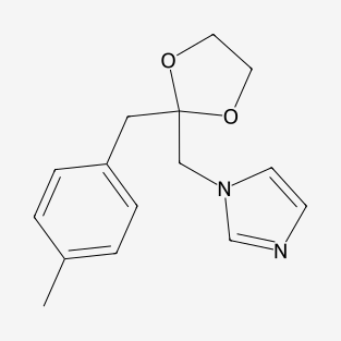 Cc1ccc(CC2(Cn3ccnc3)OCCO2)cc1